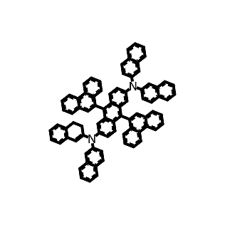 C1=C(N(c2ccc3ccccc3c2)c2ccc3c(-c4cc5ccccc5c5ccccc45)c4cc(N(c5ccc6ccccc6c5)c5ccc6ccccc6c5)ccc4c(-c4cc5ccccc5c5ccccc45)c3c2)CCc2ccccc21